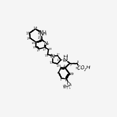 CC(C)Oc1cccc(C(CC(=O)O)N[C@@H]2CCN(CCc3ccc4c(n3)NCCC4)C2)c1